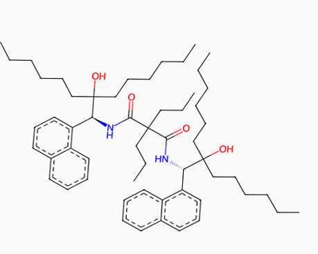 CCCCCCC(O)(CCCCCC)[C@@H](NC(=O)C(CCC)(CCC)C(=O)N[C@@H](c1cccc2ccccc12)C(O)(CCCCCC)CCCCCC)c1cccc2ccccc12